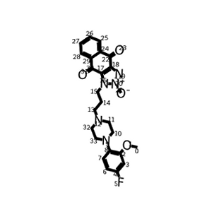 COc1cc(F)ccc1N1CCN(CCCn2c3c(n[n+]2[O-])C(=O)c2ccccc2C3=O)CC1